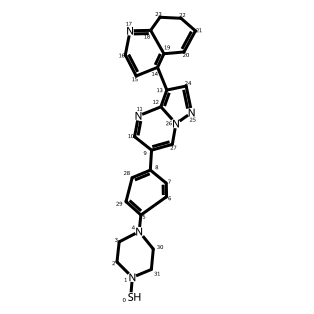 SN1CCN(c2ccc(-c3cnc4c(-c5ccnc6c5C=CCC6)cnn4c3)cc2)CC1